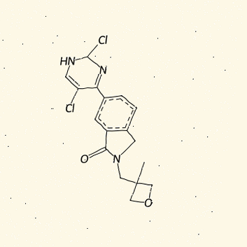 CC1(CN2Cc3ccc(C4=NC(Cl)NC=C4Cl)cc3C2=O)COC1